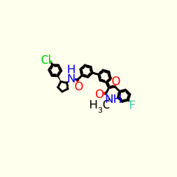 CNC(=O)c1c(-c2ccc(F)cc2)oc2ccc(-c3cccc(C(=O)N[C@H]4CCC[C@H]4c4ccc(Cl)cc4)c3)cc12